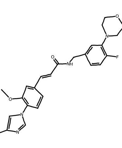 COc1cc(C=CC(=O)NCc2ccc(F)c(N3CCOCC3)c2)ccc1-n1cnc(C)c1